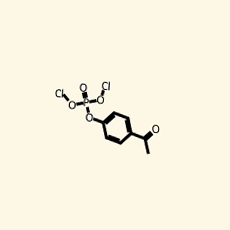 CC(=O)c1ccc(OP(=O)(OCl)OCl)cc1